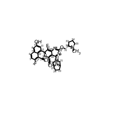 C#Cc1c(F)ccc2cc(O)cc(-c3nc(C#C)c4c(N5CC6CCC(C5)N6)nc(OC[C@@H]5CCCN5C)nc4c3F)c12